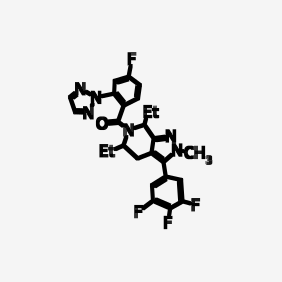 CCC1Cc2c(nn(C)c2-c2cc(F)c(F)c(F)c2)C(CC)N1C(=O)c1ccc(F)cc1-n1nccn1